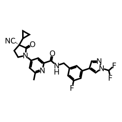 Cc1cc(N2CC[C@@](C#N)(C3CC3)C2=O)cc(C(=O)NCc2cc(F)cc(-c3cnn(C(F)F)c3)c2)n1